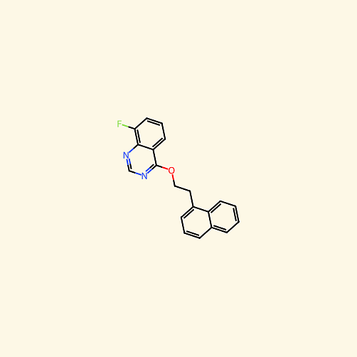 Fc1cccc2c(OCCc3cccc4ccccc34)ncnc12